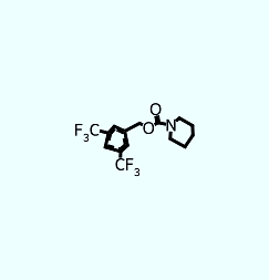 O=C(OCc1cc(C(F)(F)F)cc(C(F)(F)F)c1)N1CCCCC1